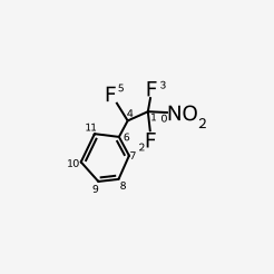 O=[N+]([O-])C(F)(F)C(F)c1ccccc1